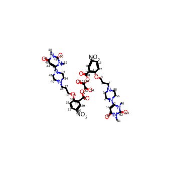 Cn1c(N2CCN(CCCOc3ccc([N+](=O)[O-])cc3C(=O)OC(=O)C(=O)OC(=O)c3cc([N+](=O)[O-])ccc3OCCCN3CCN(c4cc(=O)n(C)c(=O)n4C)CC3)CC2)cc(=O)n(C)c1=O